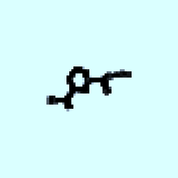 C=C(C(C)C)C1CCCN(C(=O)OC(C)(C)C)C1